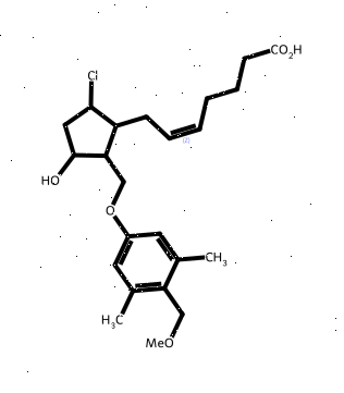 COCc1c(C)cc(OCC2C(O)CC(Cl)C2C/C=C\CCCC(=O)O)cc1C